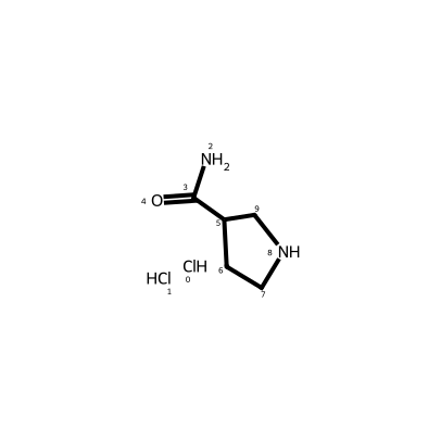 Cl.Cl.NC(=O)C1CCNC1